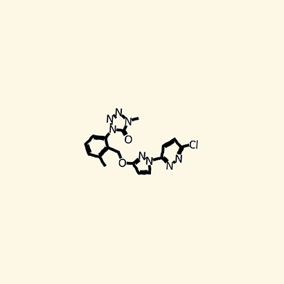 Cc1cccc(-n2nnn(C)c2=O)c1COc1ccn(-c2ccc(Cl)nn2)n1